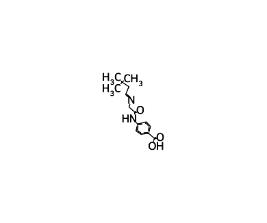 CC(C)(C)CC=NCC(=O)Nc1ccc(C(=O)O)cc1